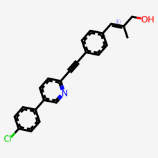 C/C(=C\c1ccc(C#Cc2ccc(-c3ccc(Cl)cc3)cn2)cc1)CO